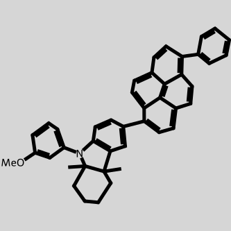 COc1cccc(N2c3ccc(-c4ccc5ccc6c(-c7ccccc7)ccc7ccc4c5c76)cc3C3(C)CCCCC23C)c1